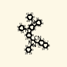 N#Cc1c(-c2ccc3ccccc3c2)nc(-c2ccccc2)nc1-c1ccc2c(c1)c1cc3c4ccccc4n(-c4ccccc4)c3cc1n2-c1ccccc1